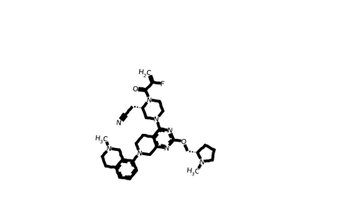 C=C(F)C(=O)N1CCN(c2nc(OC[C@@H]3CCCN3C)nc3c2CCN(c2cccc4c2CN(C)CC4)C3)C[C@@H]1CC#N